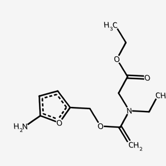 C=C(OCc1ccc(N)o1)N(CC)CC(=O)OCC